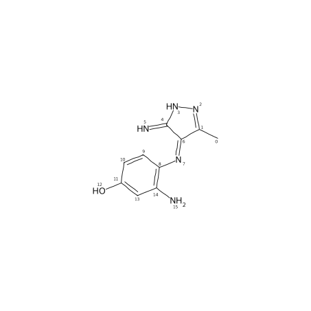 CC1=NNC(=N)C1=Nc1ccc(O)cc1N